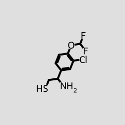 NC(CS)c1ccc(OC(F)F)c(Cl)c1